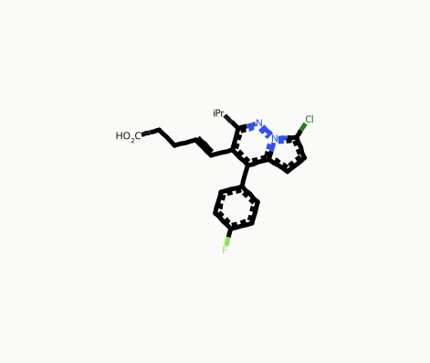 CC(C)c1nn2c(Cl)ccc2c(-c2ccc(F)cc2)c1C=CCCC(=O)O